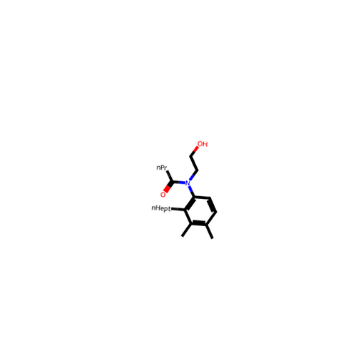 CCCCCCCc1c(N(CCO)C(=O)CCC)ccc(C)c1C